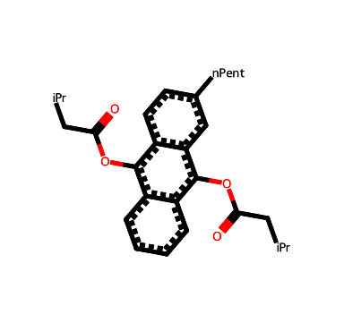 CCCCCc1ccc2c(OC(=O)CC(C)C)c3ccccc3c(OC(=O)CC(C)C)c2c1